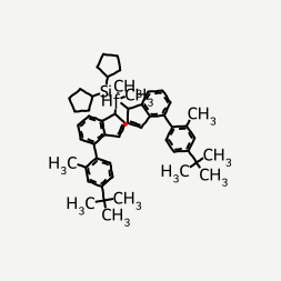 Cc1cc(C(C)(C)C)ccc1-c1cccc2c1C=C[CH]2[Hf]([CH3])([CH3])([CH]1C=Cc2c(-c3ccc(C(C)(C)C)cc3C)cccc21)=[Si](C1CCCC1)C1CCCC1